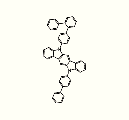 c1ccc(-c2ccc(-n3c4ccccc4c4cc5c(cc43)c3ccccc3n5-c3ccc(-c4ccccc4-c4ccccc4)cc3)cc2)cc1